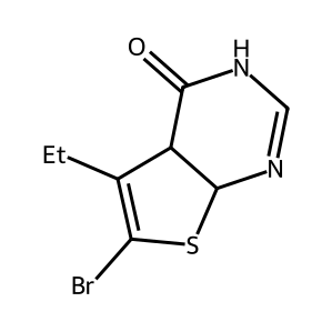 CCC1=C(Br)SC2N=CNC(=O)C12